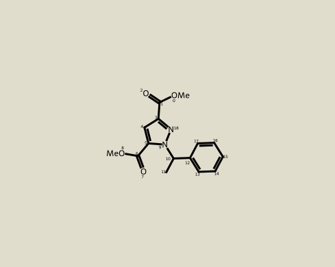 COC(=O)c1cc(C(=O)OC)n(C(C)c2ccccc2)n1